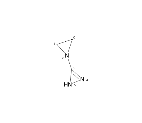 C1CN1C1=NN1